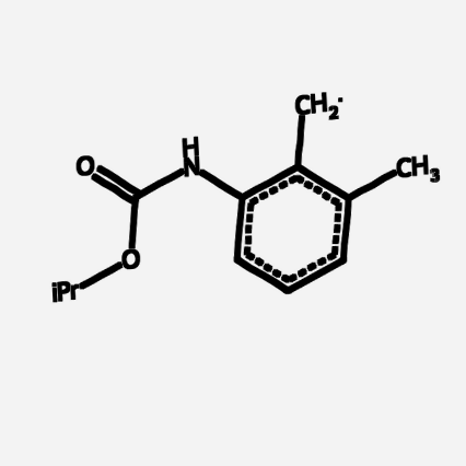 [CH2]c1c(C)cccc1NC(=O)OC(C)C